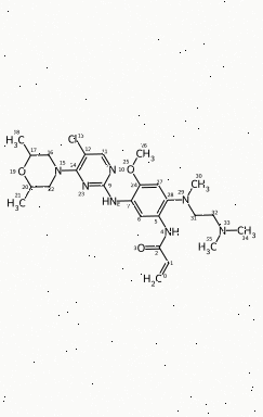 C=CC(=O)Nc1cc(Nc2ncc(Cl)c(N3CC(C)OC(C)C3)n2)c(OC)cc1N(C)CCN(C)C